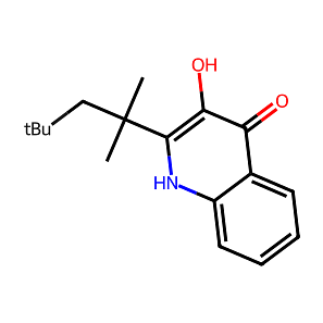 CC(C)(C)CC(C)(C)c1[nH]c2ccccc2c(=O)c1O